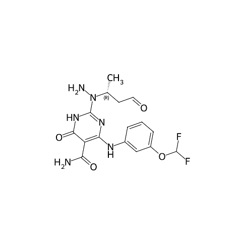 C[C@H](CC=O)N(N)c1nc(Nc2cccc(OC(F)F)c2)c(C(N)=O)c(=O)[nH]1